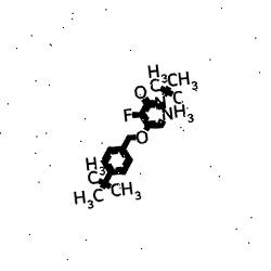 CC(C)(C)c1ccc(COc2cnn(C(C)(C)C)c(=O)c2F)cc1